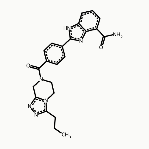 CCCc1nnc2n1CCN(C(=O)c1ccc(-c3nc4c(C(N)=O)cccc4[nH]3)cc1)C2